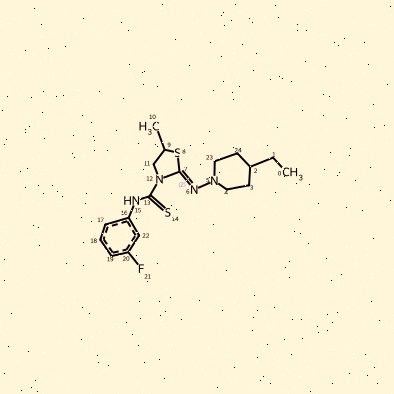 CCC1CCN(/N=C2\SC(C)CN2C(=S)Nc2cccc(F)c2)CC1